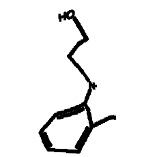 Cc1ccccc1[N]CCO